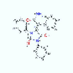 NC(=O)/C(=C1/C(=O)N(c2ccccc2)C(=O)N1c1ccccc1)c1ccccc1